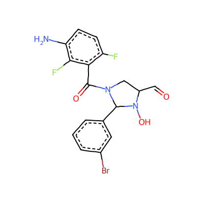 Nc1ccc(F)c(C(=O)N2CC(C=O)N(O)C2c2cccc(Br)c2)c1F